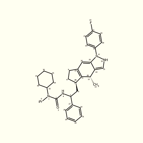 CC(C)N(C(=O)NC(C[C@H]1CCC2=C1[C@@H](C)C1=CNN(c3ccc(F)cc3)C1=C2)c1ccccc1)C1CCCCC1